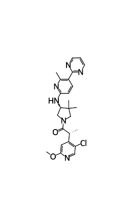 COc1cc([C@@H](C)C(=O)N2C[C@@H](Nc3ccc(-c4ncccn4)c(C)n3)C(C)(C)C2)c(Cl)cn1